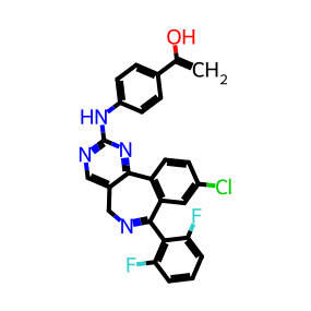 C=C(O)c1ccc(Nc2ncc3c(n2)-c2ccc(Cl)cc2C(c2c(F)cccc2F)=NC3)cc1